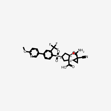 COc1ccc(-c2ccc(S(=O)(=O)[C@H]3C[C@@H](OC)[C@](C(=O)O)(C4CC4(C#N)C(N)=O)C3)c(C(F)(F)F)c2)cn1